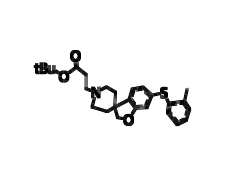 Cc1ccccc1Sc1ccc2c(c1)OCC21CCN(CCC(=O)OC(C)(C)C)CC1